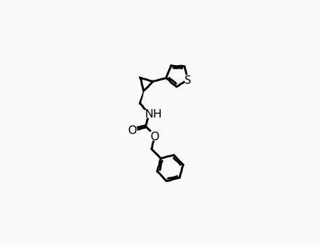 O=C(NC[C@H]1CC1c1ccsc1)OCc1ccccc1